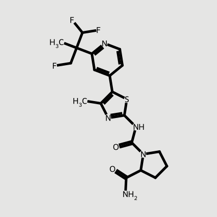 Cc1nc(NC(=O)N2CCCC2C(N)=O)sc1-c1ccnc(C(C)(CF)C(F)F)c1